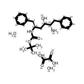 CC(C)(C)OC(=O)N[C@@H](Cc1ccccc1)C[C@H](O)[C@@H](N)Cc1ccccc1.O.O.O=C(O)C(=O)O